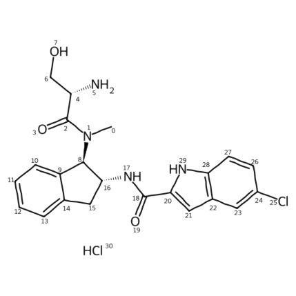 CN(C(=O)[C@@H](N)CO)[C@@H]1c2ccccc2C[C@H]1NC(=O)c1cc2cc(Cl)ccc2[nH]1.Cl